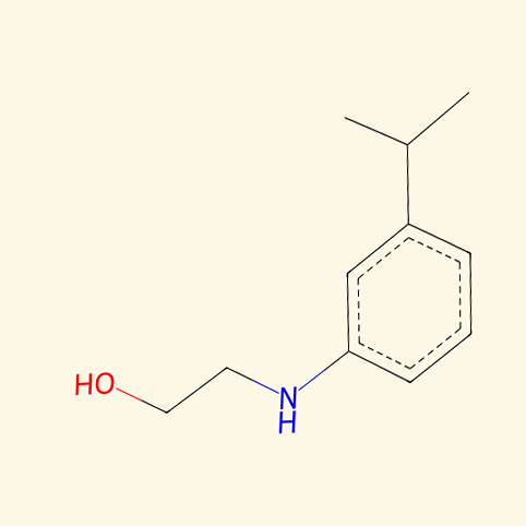 CC(C)c1cccc(NCCO)c1